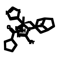 Cc1nnc(C(C)C)n1C1CC2CCC(C1)N2CC[C@H](NC(=O)C1CCCC1)c1cncs1